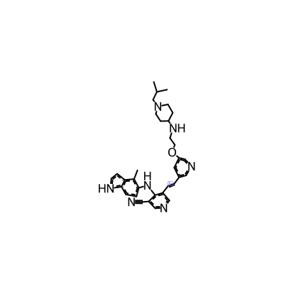 Cc1c(Nc2c(C#N)cncc2/C=C/c2cncc(OCCNC3CCN(CC(C)C)CC3)c2)ccc2[nH]ccc12